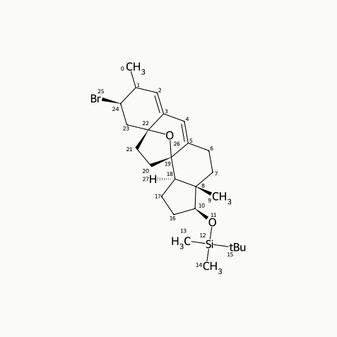 CC1C=C2C=C3CC[C@]4(C)[C@@H](O[Si](C)(C)C(C)(C)C)CC[C@H]4[C@@]34CC[C@]2(C[C@H]1Br)O4